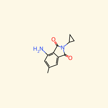 Cc1cc(N)c2c(c1)C(=O)N(C1CC1)C2=O